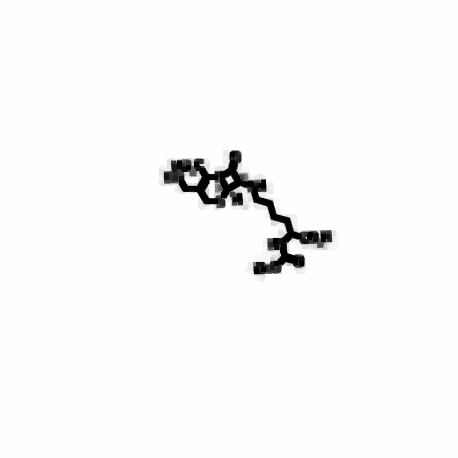 CC(C)COC(=O)NC(CCCCN[C@@H]1C(=O)N2C(C(=O)O)=C(CO)CS[C@H]12)C(=O)O